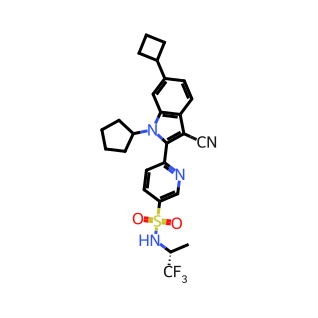 C[C@@H](NS(=O)(=O)c1ccc(-c2c(C#N)c3ccc(C4CCC4)cc3n2C2CCCC2)nc1)C(F)(F)F